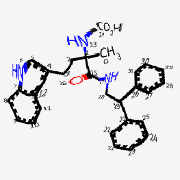 CC(CCc1c[nH]c2ccccc12)(NC(=O)O)C(=O)NCC(c1ccccc1)c1ccccc1